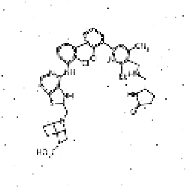 CCc1nc(-c2cccc(-c3cccc(Nc4nccc5c4NC(CN4C6CCC67C(C(=O)O)CC47)S5)c3Cl)c2Cl)cc(C)c1CNC[C@@H]1CCC(=O)N1